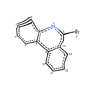 CC(C)c1nc2c#cccc2c2ccccc12